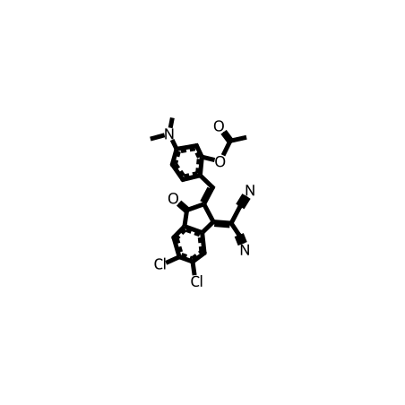 CC(=O)Oc1cc(N(C)C)ccc1C=C1C(=O)c2cc(Cl)c(Cl)cc2C1=C(C#N)C#N